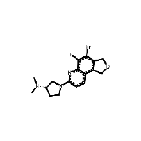 CN(C)[C@H]1CCN(c2ccc3c4c(c(Br)c(F)c3n2)COC4)C1